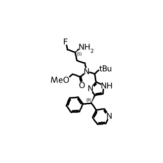 COCC(=O)N(CC[C@H](N)CF)C(c1nc([C@H](c2ccccc2)c2cccnc2)c[nH]1)C(C)(C)C